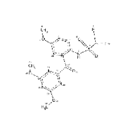 COc1ccc(NS(=O)(=O)C(F)F)c(C(=O)c2nc(OC)nc(OC)n2)c1